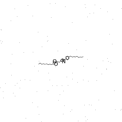 CCCCCCCCCc1ccc(-c2ccc(CCC3OCC(CCCCCCCCC)CO3)cn2)cc1